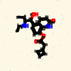 CCNC(CC)C(O)c1ccc(OC(=O)CC2CCC2)c2[nH]c(=O)ccc12